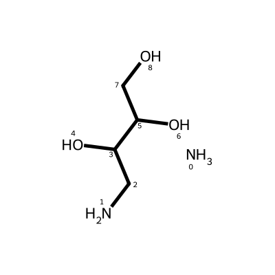 N.NCC(O)C(O)CO